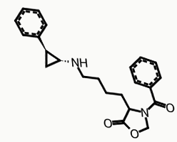 O=C1OCN(C(=O)c2ccccc2)C1CCCCN[C@@H]1C[C@H]1c1ccccc1